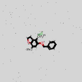 COc1cc(OCc2ccccc2)c(C(=O)O)c2c1OCC2.Cl